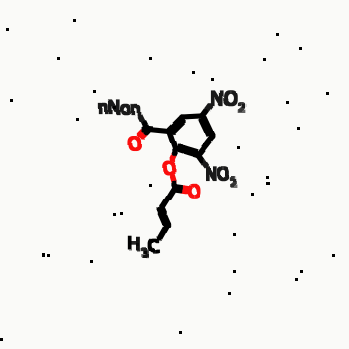 C/C=C/C(=O)Oc1c(C(=O)CCCCCCCCC)cc([N+](=O)[O-])cc1[N+](=O)[O-]